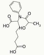 CC(O)C(=O)N(c1ccccc1)C(CCCCC(=O)O)C(=O)O